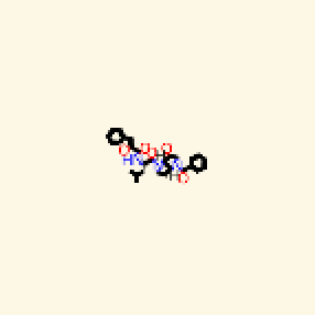 CC(C)C[C@H](NC(=O)c1cc2ccccc2o1)C(=O)N1CC[C@@H]2[C@H]1C(=O)CN2C(=O)c1ccccc1